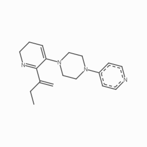 C=C(CC)C1=NCCC=C1N1CCN(c2ccncc2)CC1